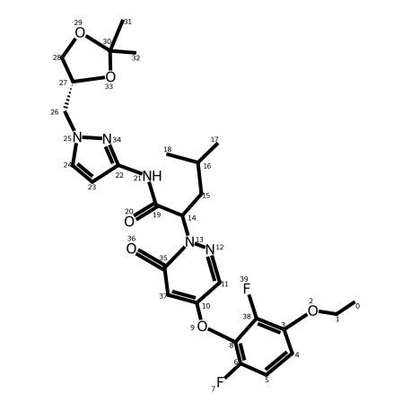 CCOc1ccc(F)c(Oc2cnn(C(CC(C)C)C(=O)Nc3ccn(C[C@@H]4COC(C)(C)O4)n3)c(=O)c2)c1F